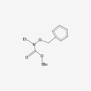 CCN(OCc1ccccc1)C(=O)OC(C)(C)C